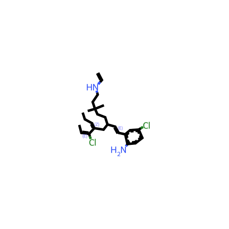 C=CNCCC(C)(C)CCC(/C=C/c1cc(Cl)ccc1N)CC(=C/CC)/C(Cl)=C\C